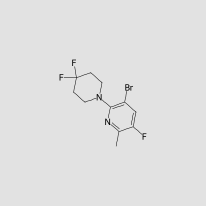 Cc1nc(N2CCC(F)(F)CC2)c(Br)cc1F